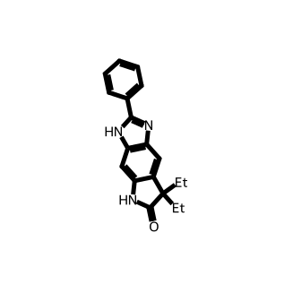 CCC1(CC)C(=O)Nc2cc3[nH]c(-c4ccccc4)nc3cc21